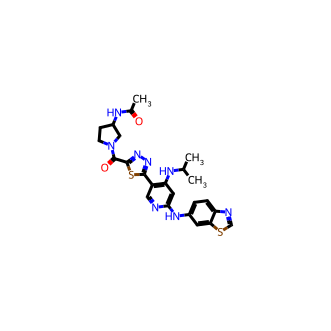 CC(=O)NC1CCN(C(=O)c2nnc(-c3cnc(Nc4ccc5ncsc5c4)cc3NC(C)C)s2)C1